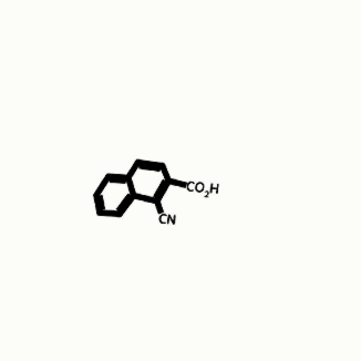 N#Cc1c(C(=O)O)ccc2ccccc12